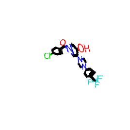 O=C(c1ccc(Cl)cc1)N1CC(O)C(N2CCN(c3ccc(C(F)(F)F)cc3)CC2)C1